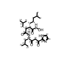 CC(C)CCC[C@H](C(=O)NO)[C@@H](CC(C)C)C(=O)NN(CC(C)C)C(=O)CC(=O)c1ncc[nH]1